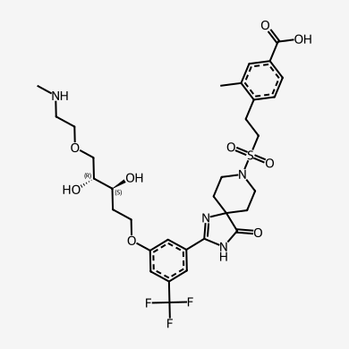 CNCCOC[C@@H](O)[C@@H](O)CCOc1cc(C2=NC3(CCN(S(=O)(=O)CCc4ccc(C(=O)O)cc4C)CC3)C(=O)N2)cc(C(F)(F)F)c1